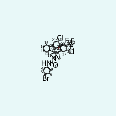 O=C(Nc1ccc(Br)cc1)N1CC(c2ccccc2)(c2ccc(Cl)cc2)C(c2ccc(C(F)(F)F)c(Cl)c2)=N1